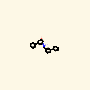 O=C1C=C(NCc2cccc(-c3ccccc3)c2)CC(c2ccccc2)C1